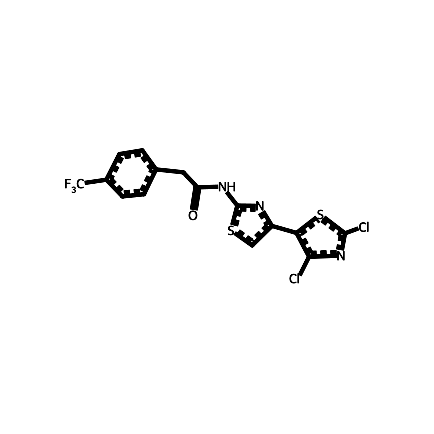 O=C(Cc1ccc(C(F)(F)F)cc1)Nc1nc(-c2sc(Cl)nc2Cl)cs1